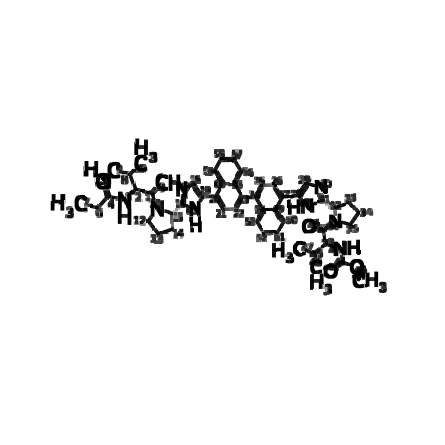 C=C([C@@H](NC(=O)CC)C(C)C)N1CCC[C@H]1c1ncc(-c2ccc(-c3ccc(-c4cnc([C@@H]5CCCN5C(=O)[C@@H](NC(=O)OC)C(C)C)[nH]4)c4ccccc34)c3ccccc23)[nH]1